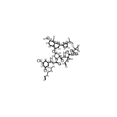 C=CCCCCC[C@H](Nc1cc(Cl)cc(Cl)c1)C(=O)N1C[C@H](Oc2cc(-c3nc(C(C)C)cs3)nc3c(C)c(OC)ccc23)C[C@H]1C(=O)N[C@]1(C(=O)NS(=O)(=O)C2(C)CC2)C[C@H]1C=C